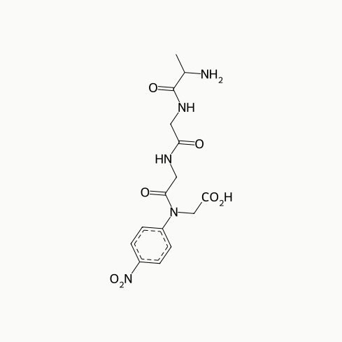 CC(N)C(=O)NCC(=O)NCC(=O)N(CC(=O)O)c1ccc([N+](=O)[O-])cc1